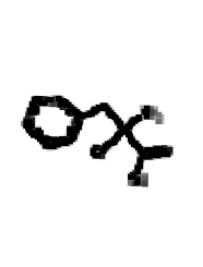 NC(Cl)(Cc1ccccc1)C(=O)O